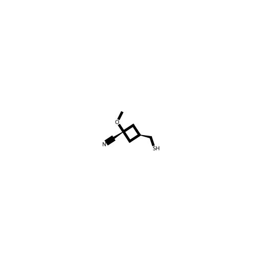 CO[C@]1(C#N)C[C@@H](CS)C1